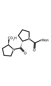 CCCCCCCCCC(=O)N1CCC[C@H]1C(=O)N1CCC[C@H]1C(=O)O